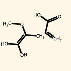 C=CC(=O)O.COC(C)=C(O)O